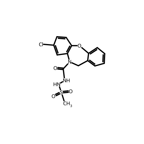 CS(=O)(=O)NNC(=O)N1Cc2ccccc2Oc2ccc(Cl)cc21